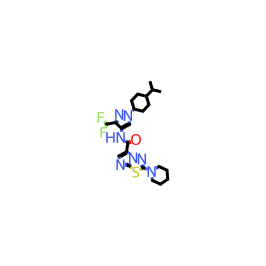 CC(C)C1CCC(n2cc(NC(=O)c3cnc4sc(N5CCCCC5)nn34)c(C(F)F)n2)CC1